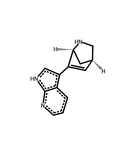 C1=C(c2c[nH]c3ncccc23)[C@@H]2C[C@H]1CN2